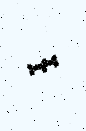 c1ccc(N(c2ccccc2)c2ccc(-c3ccc4c(c3)c3ccccc3c3cc(-c5ccc(N(c6ccccc6)c6ccccc6)cc5)c5ccccc5c43)cc2)cc1